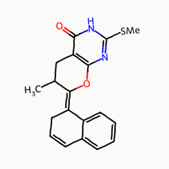 CSc1nc2c(c(=O)[nH]1)CC(C)C(=C1CC=Cc3ccccc31)O2